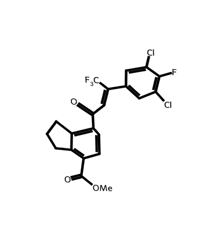 COC(=O)c1ccc(C(=O)/C=C(/c2cc(Cl)c(F)c(Cl)c2)C(F)(F)F)c2c1CCC2